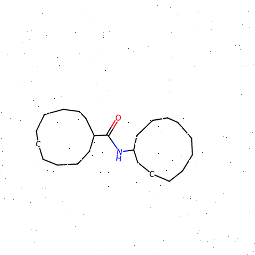 O=C(NC1CCCCCCCCCC1)C1CCCCCCCCCC1